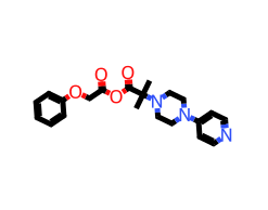 CC(C)(C(=O)OC(=O)COc1ccccc1)N1CCN(c2ccncc2)CC1